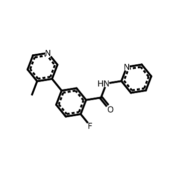 Cc1ccncc1-c1ccc(F)c(C(=O)Nc2ccccn2)c1